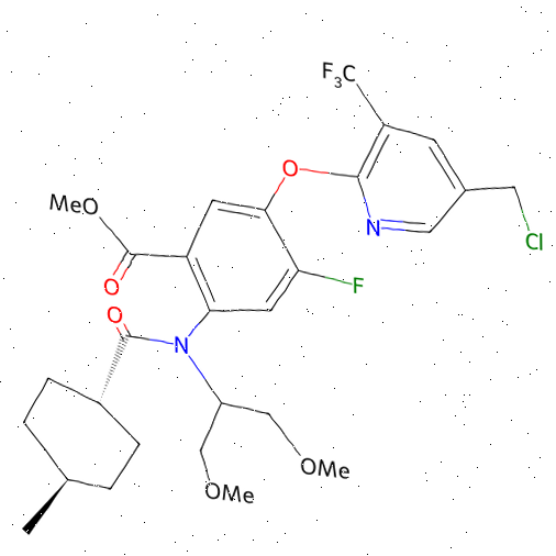 COCC(COC)N(c1cc(F)c(Oc2ncc(CCl)cc2C(F)(F)F)cc1C(=O)OC)C(=O)[C@H]1CC[C@H](C)CC1